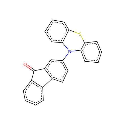 O=C1c2ccccc2-c2ccc(N3c4ccccc4Sc4ccccc43)cc21